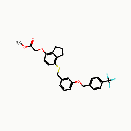 COC(=O)COc1ccc(SCc2cccc(OCc3ccc(C(F)(F)F)cc3)c2)c2c1CCC2